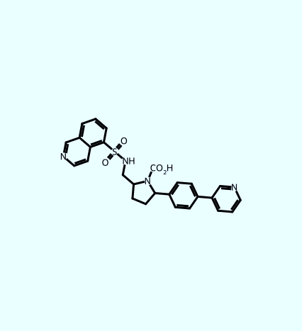 O=C(O)N1C(CNS(=O)(=O)c2cccc3cnccc23)CCC1c1ccc(-c2cccnc2)cc1